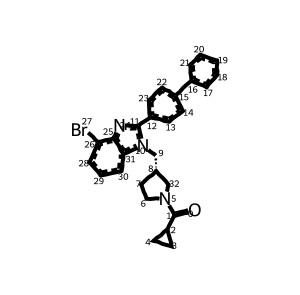 O=C(C1CC1)N1CC[C@H](Cn2c(-c3ccc(-c4ccccc4)cc3)nc3c(Br)cccc32)C1